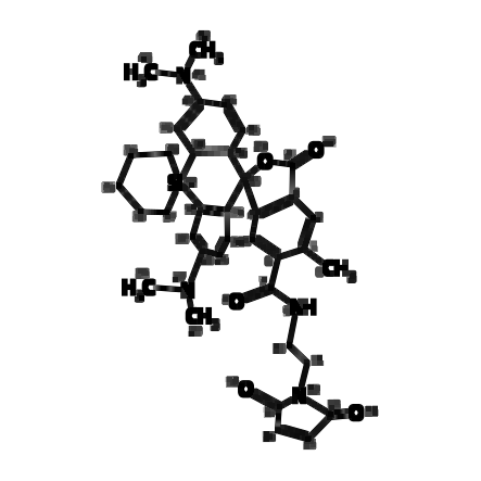 Cc1cc2c(cc1C(=O)NCCN1C(=O)C=CC1=O)C1(OC2=O)c2ccc(N(C)C)cc2[Si]2(CCCCC2)c2cc(N(C)C)ccc21